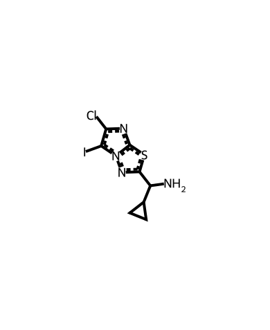 NC(c1nn2c(I)c(Cl)nc2s1)C1CC1